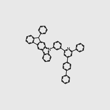 c1ccc(-c2ccc(-c3cc(-c4ccccc4)nc(-c4cccc(-n5c6ccccc6c6cc7c(cc65)C(c5ccccc5)c5ccccc5-7)c4)c3)cc2)cc1